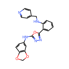 c1ccc(-c2nnc(Nc3ccc4c(c3)OCO4)o2)c(NCc2ccncc2)c1